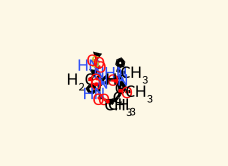 C=C[C@@H]1CC1(NC(=O)[C@@H]1C[C@@H]2CN1C(=O)[C@H](C1CCCCC1)NC(=O)OCC(C)(C)CCCc1cc3c(cc(N(C)Cc4ccccc4)nc3cc1OC)O2)C(=O)NS(=O)(=O)C1CC1